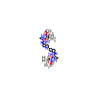 COC(=O)N[C@H](C(=O)N1CC2CC2C1c1nc2ccc3cc(-c4ccc5c(ccc6nc(C7C8CC8CN7C(=O)[C@@H](NC(=O)OC)C(C)C)[nH]c65)n4)ccc3c2[nH]1)C(C)C